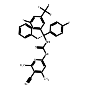 C#Cc1c(C)cc(NC(=O)N[C@](Cc2ccccc2)(c2ccc(F)cc2)c2cc(F)cc(C(F)(F)F)c2)nc1C